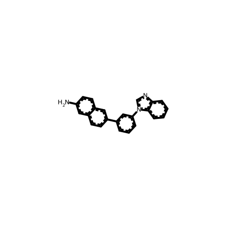 Nc1ccc2cc(-c3cccc(-n4cnc5ccccc54)c3)ccc2c1